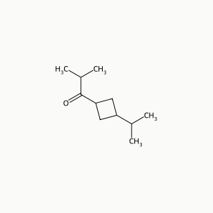 CC(C)C(=O)C1CC(C(C)C)C1